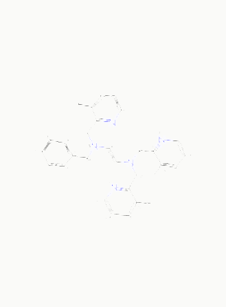 Cc1cccnc1CN(C=CN(Cc1ncccc1C)Cc1ncccc1C)Cc1ccccc1